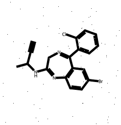 C#CC(C)NC1=Nc2ccc(Br)cc2C(c2ccccc2Cl)=NC1